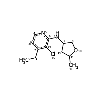 CCc1ncnc(NC2COC(C)C2)c1Cl